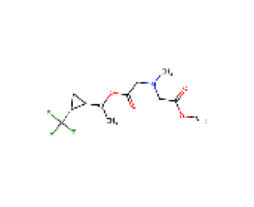 COC(=O)CN(C)CC(=O)OB(C)[C@@H]1C[C@H]1C(F)(F)F